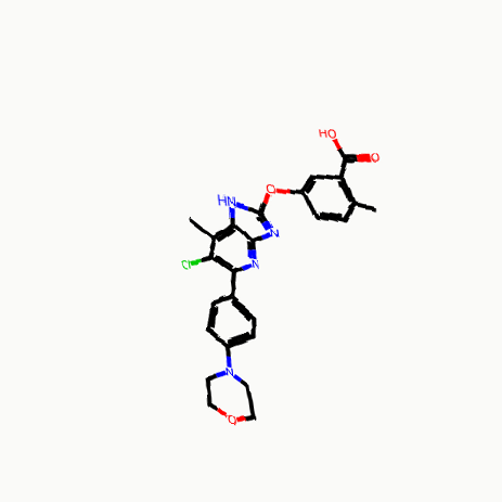 Cc1ccc(Oc2nc3nc(-c4ccc(N5CCOCC5)cc4)c(Cl)c(C)c3[nH]2)cc1C(=O)O